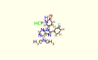 CN(C)c1ncnc2c1nc(-c1cccc(F)c1)n2-c1ccc(=O)[nH]c1.Cl